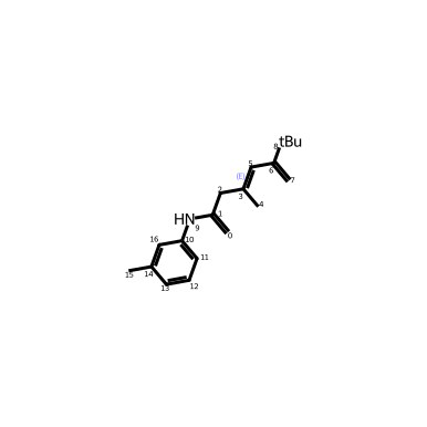 C=C(C/C(C)=C/C(=C)C(C)(C)C)Nc1cccc(C)c1